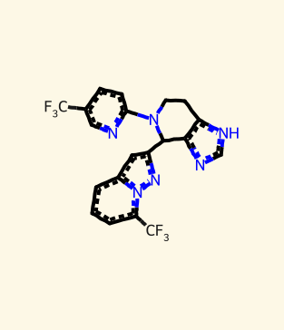 FC(F)(F)c1ccc(N2CCc3[nH]cnc3C2c2cc3cccc(C(F)(F)F)n3n2)nc1